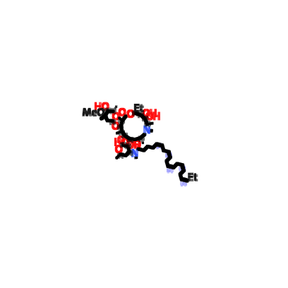 CC/C=C\C/C=C\C/C=C\C/C=C\C/C=C\CCCC(=O)N(C)[C@H]1C[C@@H](C)O[C@@H](O[C@@H]2[C@@H](C)[C@H](O[C@H]3C[C@@](C)(OC)[C@@H](O)[C@H](C)O3)[C@@H](C)C(=O)O[C@H](CC)[C@@](C)(O)[C@H](O)[C@@H](C)N(C)C[C@H](C)C[C@@]2(C)O)[C@@H]1O